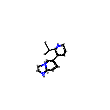 CC(C)c1ncccc1-c1ccc2nccn2c1